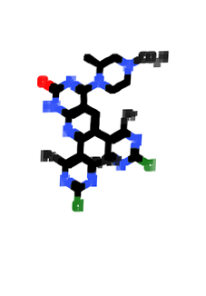 CC(C)c1nc(Cl)nc(C(C)C)c1-c1cc2c(N3CCN(C(=O)O)C[C@@H]3C)nc(=O)[nH]c2nc1-c1c(C(C)C)nc(Cl)nc1C(C)C